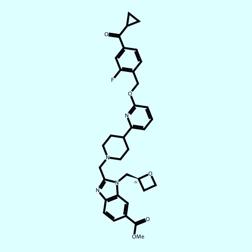 COC(=O)c1ccc2nc(CN3CCC(c4cccc(OCc5ccc(C(=O)C6CC6)cc5F)n4)CC3)n(C[C@@H]3CCO3)c2c1